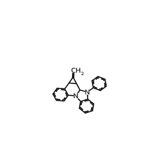 C=C1C2c3ccccc3N3c4ccccc4N(c4ccccc4)C3C12